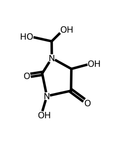 O=C1C(O)N(C(O)O)C(=O)N1O